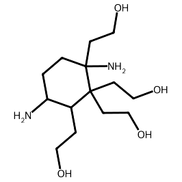 NC1CCC(N)(CCO)C(CCO)(CCO)C1CCO